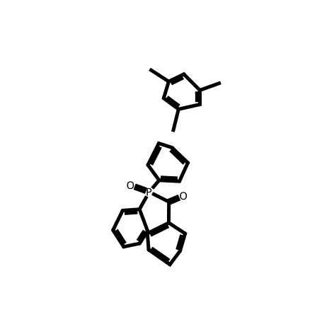 Cc1cc(C)cc(C)c1.O=C(c1ccccc1)P(=O)(c1ccccc1)c1ccccc1